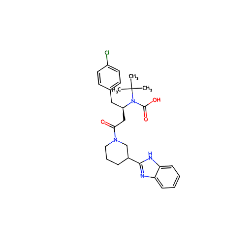 CC(C)(C)N(C(=O)O)[C@@H](CC(=O)N1CCCC(c2nc3ccccc3[nH]2)C1)Cc1ccc(Cl)cc1